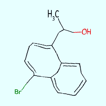 CC(O)c1ccc(Br)c2ccccc12